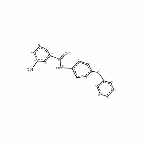 O=C(Nc1ccc(Oc2ccccc2)cc1)c1cccc([N+](=O)[O-])c1